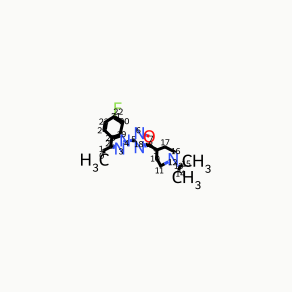 CCc1nn(-c2noc(C3CCN(C(C)C)CC3)n2)c2cc(F)ccc12